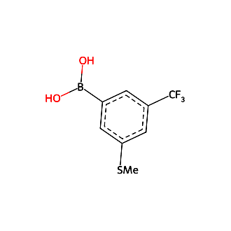 CSc1cc(B(O)O)cc(C(F)(F)F)c1